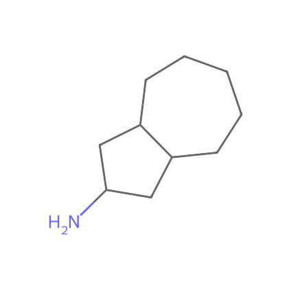 NC1CC2CCCCCC2C1